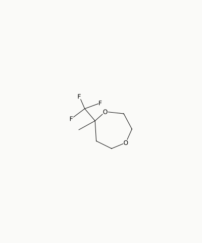 CC1(C(F)(F)F)CCOCCO1